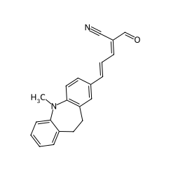 CN1c2ccccc2CCc2cc(/C=C/C=C(\C#N)C=O)ccc21